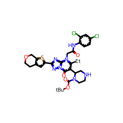 CCc1c(C2CNCCN2C(=O)OC(C)(C)C)c(=O)n2nc(-c3cc4c(s3)COCC4)nc2n1CC(=O)Nc1ccc(Cl)cc1Cl